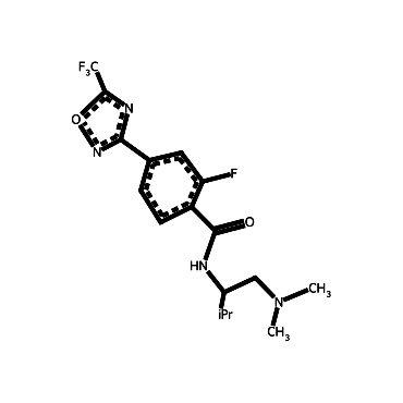 CC(C)C(CN(C)C)NC(=O)c1ccc(-c2noc(C(F)(F)F)n2)cc1F